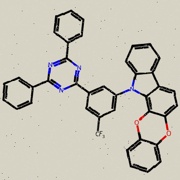 FC(F)(F)c1cc(-c2nc(-c3ccccc3)nc(-c3ccccc3)n2)cc(-n2c3ccccc3c3ccc4c(c32)Oc2ccccc2O4)c1